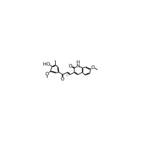 COc1ccc2cc(/C=C/C(=O)c3cc(C)c(O)c(OC)c3)c(=O)[nH]c2c1